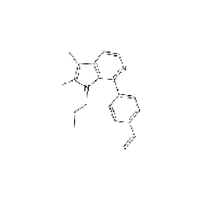 C=Cc1ccc(-c2nccc3c(C)c(C)n(CCC)c23)cc1